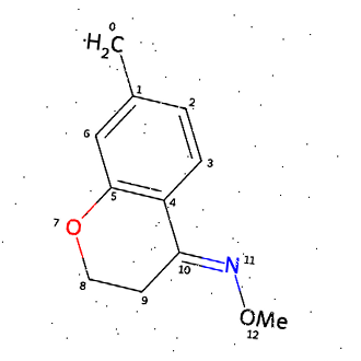 [CH2]c1ccc2c(c1)OCC/C2=N\OC